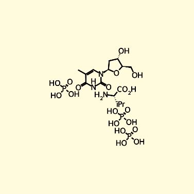 CC(C)[C@H](N)C(=O)O.Cc1cn([C@H]2C[C@H](O)[C@@H](CO)O2)c(=O)[nH]c1=O.O=P(O)(O)O.O=P(O)(O)O.O=P(O)(O)O